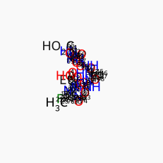 CC[C@@]1(O)C(=O)OCc2c1cc1n(c2=O)Cc2c-1nc1cc(F)c(C)c3c1c2[C@@H](NC(=O)C1(COCNC(=O)CNC(=O)[C@H](Cc2ccccc2)NC(=O)CNC(=O)CNC(=O)[C@@H](CNCC(=O)O)N2C(=O)C=CC2=O)CC1)CC3